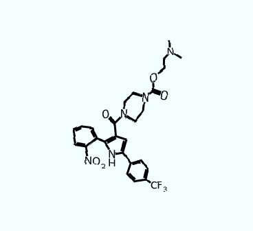 CN(C)CCOC(=O)N1CCN(C(=O)c2cc(-c3ccc(C(F)(F)F)cc3)[nH]c2-c2ccccc2[N+](=O)[O-])CC1